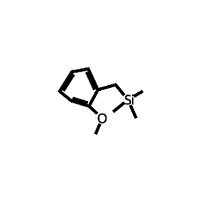 COc1ccccc1C[Si](C)(C)C